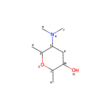 CC1OC(C)C(N(C)C)CC1O